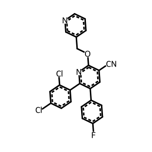 N#Cc1cc(-c2ccc(F)cc2)c(-c2ccc(Cl)cc2Cl)nc1OCc1cccnc1